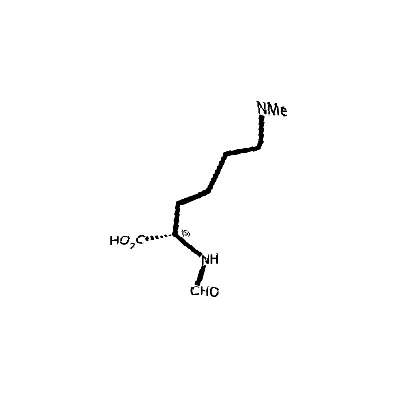 CNCCCC[C@H](NC=O)C(=O)O